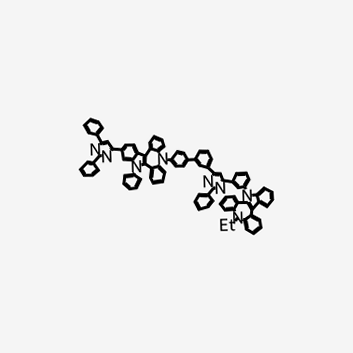 CCN1c2ccccc2-c2c(n(-c3cccc(-c4cc(-c5cccc(-c6ccc(N7c8ccccc8-c8c(n(-c9ccccc9)c9cc(-c%10cc(-c%11ccccc%11)nc(-c%11ccccc%11)n%10)ccc89)-c8ccccc87)cc6)c5)nc(-c5ccccc5)n4)c3)c3ccccc23)-c2ccccc21